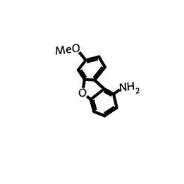 COc1ccc2c(c1)oc1cccc(N)c12